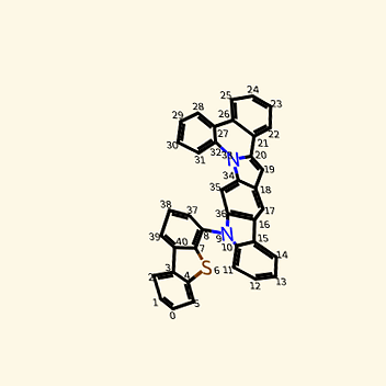 c1ccc2c(c1)sc1c(-n3c4ccccc4c4cc5cc6c7ccccc7c7ccccc7n6c5cc43)cccc12